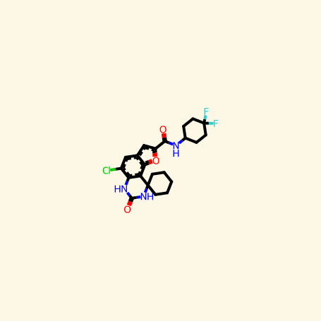 O=C1Nc2c(Cl)cc3cc(C(=O)NC4CCC(F)(F)CC4)oc3c2C2(CCCCC2)N1